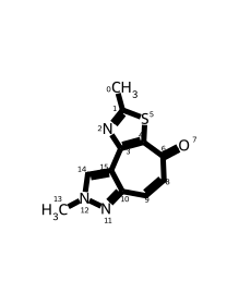 Cc1nc2c(s1)c(=O)ccc1nn(C)cc12